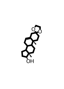 C[C@]12CCC3(CC1=CCC1C2CC[C@@]2(C)C1CC[C@@H]2O)OCCO3